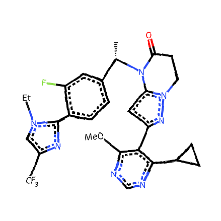 CCn1cc(C(F)(F)F)nc1-c1ccc([C@H](C)N2C(=O)CCn3nc(-c4c(OC)ncnc4C4CC4)cc32)cc1F